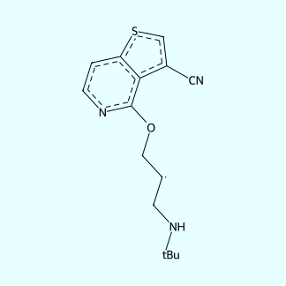 CC(C)(C)NC[CH]COc1nccc2scc(C#N)c12